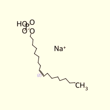 CCCCCCCC/C=C\CCCCCCCCOP(=O)([O-])O.[Na+]